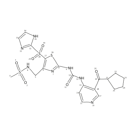 CS(=O)(=O)NCc1nc(NC(=O)Nc2ccncc2C(=O)C2CCCC2)sc1S(=O)(=O)c1ncc[nH]1